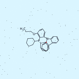 CCCOc1cccc(-n2c3ccccc3c3ccccc32)c1P(C1CCCCC1)C1CCCCC1